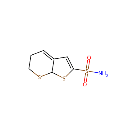 NS(=O)(=O)C1=CC2=CCCSC2S1